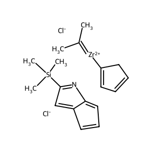 C[C](C)=[Zr+2][C]1=CC=CC1.C[Si](C)(C)C1=NC2=CC=CC2=C1.[Cl-].[Cl-]